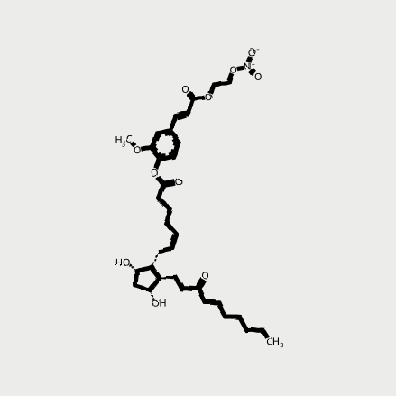 CCCCCCCC(=O)CC[C@@H]1[C@@H](C/C=C\CCCC(=O)Oc2ccc(/C=C/C(=O)OCCO[N+](=O)[O-])cc2OC)[C@@H](O)C[C@H]1O